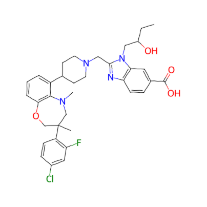 CCC(O)Cn1c(CN2CCC(c3cccc4c3N(C)CC(C)(c3ccc(Cl)cc3F)CO4)CC2)nc2ccc(C(=O)O)cc21